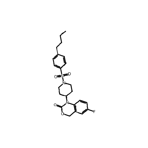 CCCCc1ccc(S(=O)(=O)N2CCC(N3C(=O)OCc4cc(F)ccc43)CC2)cc1